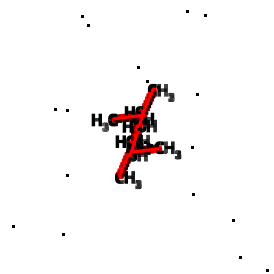 CCCCCCCCCCCCCCC(O)CN(CCCCC(O)=[SH]CCN1CCN(CC[SH]=C(O)CCCCN(CC(O)CCCCCCCCCCCCCC)CC(O)CCCCCCCCCCCCCC)CC1)CC(O)CCCCCCCCCCCCCC